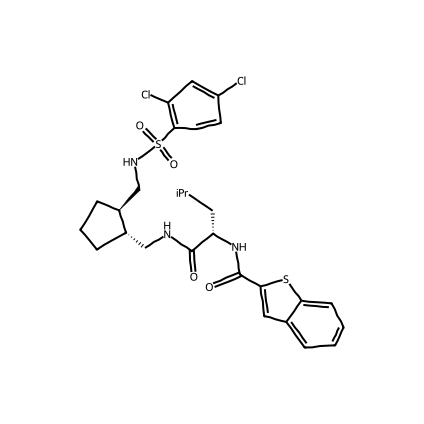 CC(C)C[C@H](NC(=O)c1cc2ccccc2s1)C(=O)NC[C@@H]1CCC[C@H]1CNS(=O)(=O)c1ccc(Cl)cc1Cl